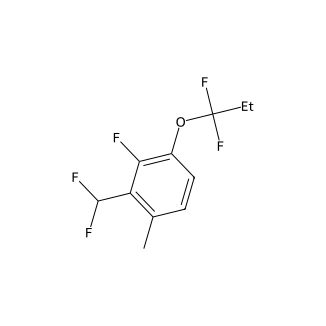 CCC(F)(F)Oc1ccc(C)c(C(F)F)c1F